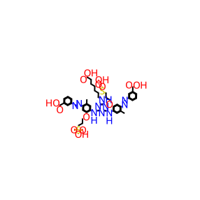 Cc1cc(Nc2nc(NCCCCCCC(=O)O)nc(Nc3cc(C)c(N=Nc4cccc(C(=O)O)c4)cc3OCCCS(=O)(=O)O)n2)c(OCCCSOOO)cc1N=Nc1cccc(C(=O)O)c1